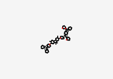 Cc1cc2c(cc1-c1ccc(N(c3ccccc3)c3ccccc3)cc1)C(C)(C)c1cc(-c3ccc(N(c4ccccc4)c4ccc(N(c5ccccc5)c5ccccc5)cc4)cc3)c(C)cc1-2